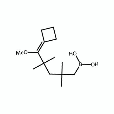 COC(=C1CCC1)C(C)(C)CC(C)(C)CB(O)O